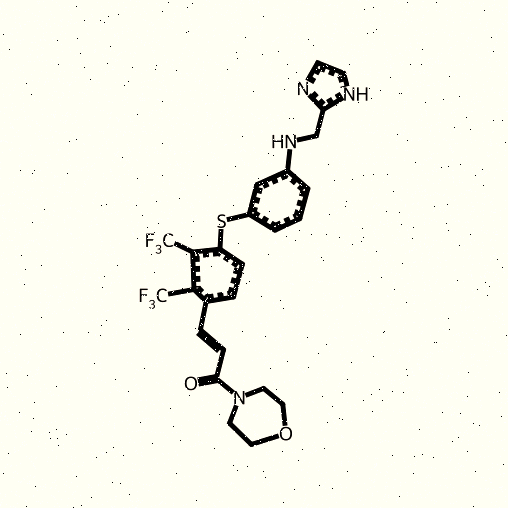 O=C(/C=C/c1ccc(Sc2cccc(NCc3ncc[nH]3)c2)c(C(F)(F)F)c1C(F)(F)F)N1CCOCC1